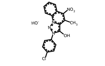 Cc1c([N+](=O)[O-])c2ccccc2[n+]2nn(-c3ccc(Cl)cc3)c(O)c12.[OH-]